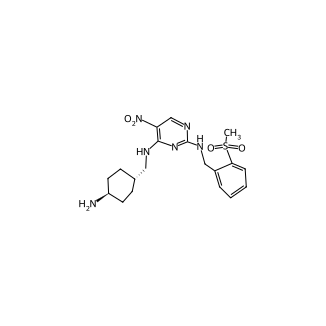 CS(=O)(=O)c1ccccc1CNc1ncc([N+](=O)[O-])c(NC[C@H]2CC[C@H](N)CC2)n1